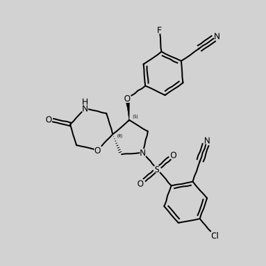 N#Cc1ccc(O[C@H]2CN(S(=O)(=O)c3ccc(Cl)cc3C#N)C[C@]23CNC(=O)CO3)cc1F